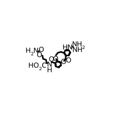 N=C(N)Nc1ccc2c(c1)CCCOc1c(cccc1C(=O)N[C@@H](CCCOC(N)=O)C(=O)O)OC2=O